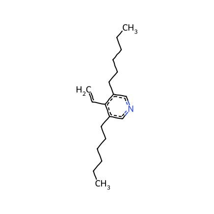 C=Cc1c(CCCCCC)cncc1CCCCCC